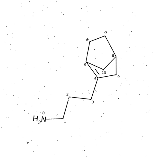 NCCCC1=C2CCC(C1)C2